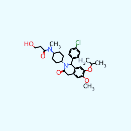 COc1cc2c(cc1OC(C)C)C(c1ccc(Cl)cc1)N([C@H]1CC[C@H](N(C)C(=O)CCO)CC1)C(=O)C2